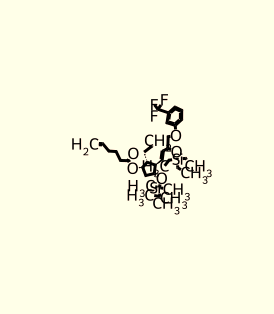 C=CCCCC(=O)O[C@H]1CC(O[Si](C)(C)C(C)(C)C)[C@H](/C=C/C(COc2cccc(C(F)(F)F)c2)O[Si](CC)(CC)CC)[C@H]1CC=C